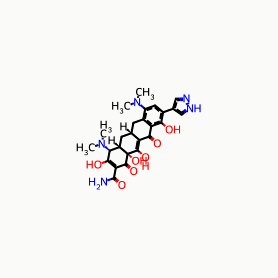 CN(C)c1cc(-c2cn[nH]c2)c(O)c2c1C[C@H]1C[C@H]3[C@H](N(C)C)C(O)=C(C(N)=O)C(=O)[C@@]3(O)C(O)=C1C2=O